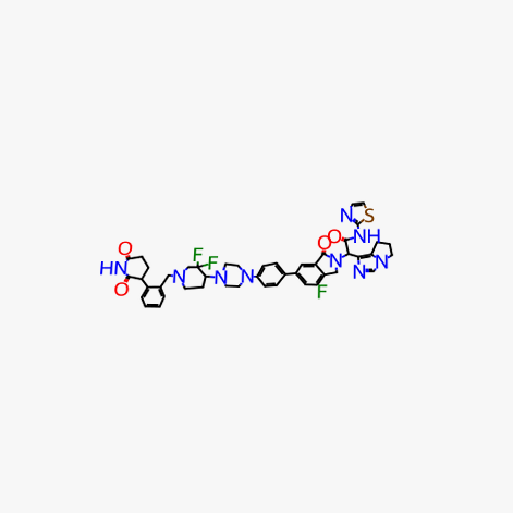 O=C1CCC(c2ccccc2CN2CCC(N3CCN(c4ccc(-c5cc(F)c6c(c5)C(=O)N(C(C(=O)Nc5nccs5)c5ncn7c5CCC7)C6)cc4)CC3)C(F)(F)C2)C(=O)N1